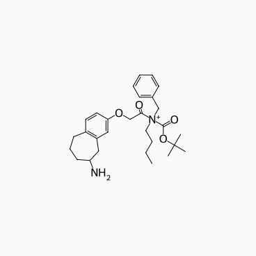 CCCC[N+](Cc1ccccc1)(C(=O)COc1ccc2c(c1)CC(N)CCC2)C(=O)OC(C)(C)C